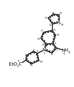 CCOC(=O)c1ccc(-n2cc(N)c3cc(-c4cccs4)ccc32)cc1